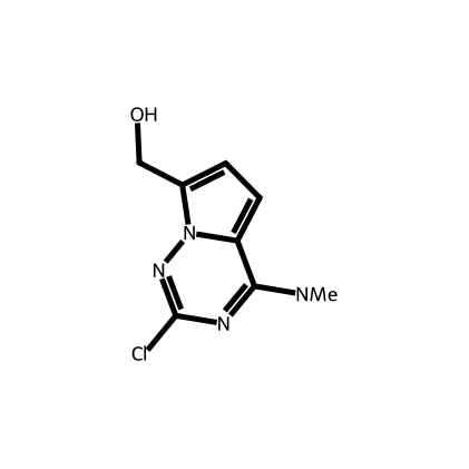 CNc1nc(Cl)nn2c(CO)ccc12